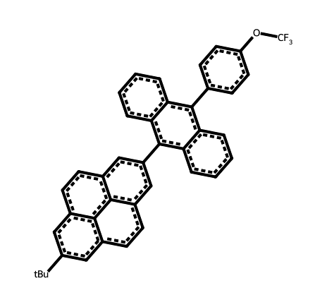 CC(C)(C)c1cc2ccc3cc(-c4c5ccccc5c(-c5ccc(OC(F)(F)F)cc5)c5ccccc45)cc4ccc(c1)c2c34